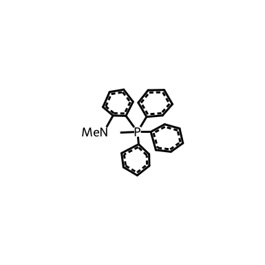 CNc1ccccc1P(C)(c1ccccc1)(c1ccccc1)c1ccccc1